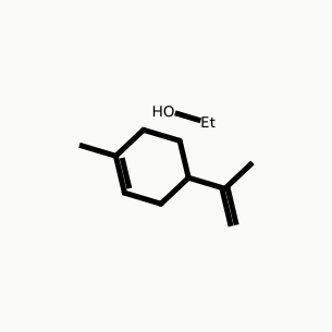 C=C(C)C1CC=C(C)CC1.CCO